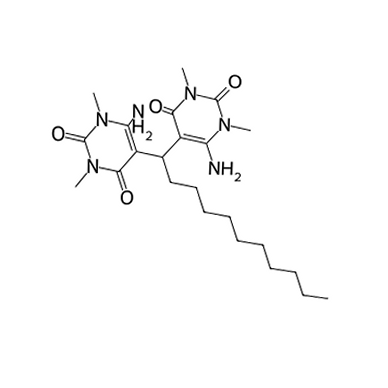 CCCCCCCCCCC(c1c(N)n(C)c(=O)n(C)c1=O)c1c(N)n(C)c(=O)n(C)c1=O